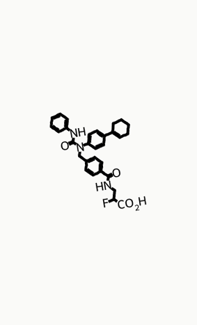 O=C(NCC(F)C(=O)O)c1ccc(CN(C(=O)Nc2ccccc2)c2ccc(C3=CCCCC3)cc2)cc1